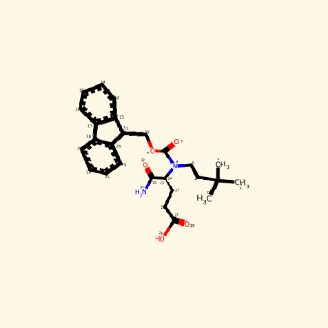 CC(C)(C)CCN(C(=O)OCC1c2ccccc2-c2ccccc21)[C@@H](CCC(=O)O)C(N)=O